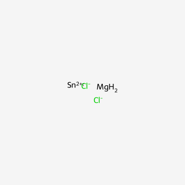 [Cl-].[Cl-].[MgH2].[Sn+2]